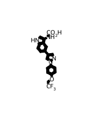 O=C(O)Nc1c[nH]c2ccc(-c3cnn(-c4ccc(OCC(F)(F)F)cc4)c3)cc12